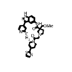 COCC1(C(=O)Nc2ccc3[nH]nc(-c4ccnc(C)c4)c3c2)CCN(CC(=O)N2CC=C(c3nccs3)CC2)C1